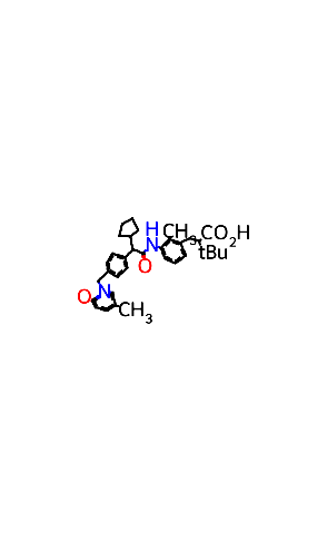 Cc1ccc(=O)n(Cc2ccc(C(C(=O)Nc3cccc(CC(C(=O)O)C(C)(C)C)c3C)C3CCCC3)cc2)c1